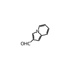 O=Cc1cc2ccccn2c1